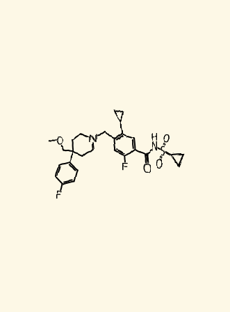 COCC1(c2ccc(F)cc2)CCN(Cc2cc(F)c(C(=O)NS(=O)(=O)C3CC3)cc2C2CC2)CC1